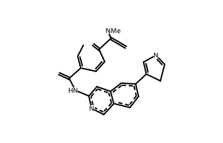 C=C(/C=C\C(=C/C)C(=C)Nc1cc2cc(C3=CN=CC3)ccc2cn1)C(=C)NC